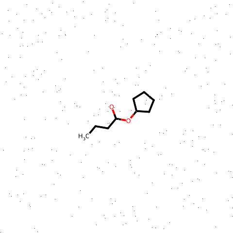 CCCC([O])OC1CCCC1